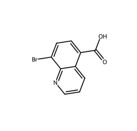 O=C(O)c1ccc(Br)c2ncccc12